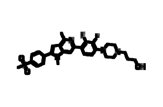 Cc1nc(-c2ccc(N3CCN(CCCO)CC3)c(F)c2F)cc2c1cc(-c1ccc(S(C)(=O)=O)cc1)n2C